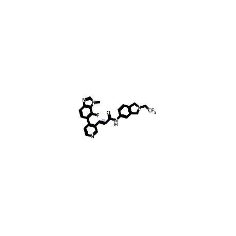 Cn1cnc2ccc(-c3ccncc3/C=C/C(=O)Nc3ccc4c(c3)CN(CC(F)(F)F)C4)c(F)c21